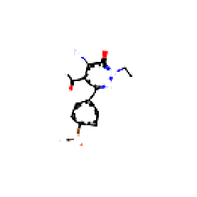 CCn1nc(-c2ccc([S+](C)[O-])cc2)c(C(C)=O)c(N)c1=O